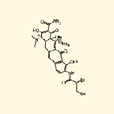 Br.CN(C)[C@@H]1C(O)=C(C(N)=O)C(=O)C2(O)C(O)=C3C(=O)c4c(ccc(NC(=O)C(Br)CS)c4O)CC3CC12